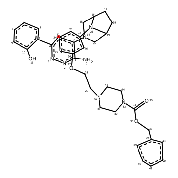 Nc1nnc(-c2ccccc2O)cc1N1CC2CCC(C1)N2c1ccnc(OCCN2CCN(C(=O)OCc3ccccc3)CC2)c1